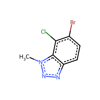 Cn1nnc2ccc(Br)c(Cl)c21